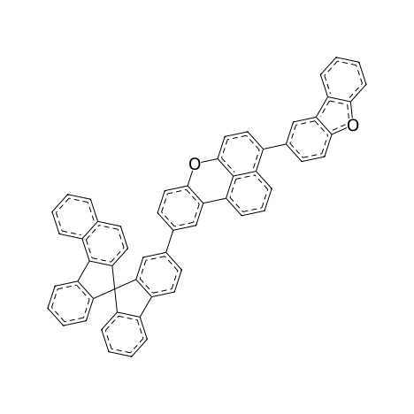 c1ccc2c(c1)-c1ccc(-c3ccc4c(c3)-c3cccc5c(-c6ccc7oc8ccccc8c7c6)ccc(c35)O4)cc1C21c2ccccc2-c2c1ccc1ccccc21